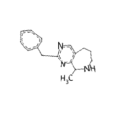 CC1NCCCc2cnc(Cc3ccccc3)nc21